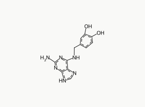 Nc1nc(NCc2ccc(O)c(O)c2)c2nc[nH]c2n1